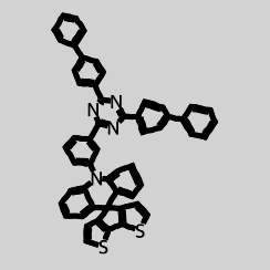 c1ccc(-c2ccc(-c3nc(-c4ccc(-c5ccccc5)cc4)nc(-c4cccc(N5c6ccccc6C6(c7ccccc75)c5ccsc5-c5sccc56)c4)n3)cc2)cc1